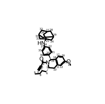 C#CC(=O)N1[C@@H](CCCC)Cc2cc(OC)ccc2[C@@H]1c1ccc(NC23CC4CC(CC(C4)C2)C3)cc1